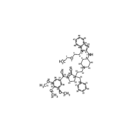 CCOCCn1c(NC2CCN(CCC3(Cc4ccccc4)CCN(C(=O)c4cc(OC)c(OC)c(OC)c4)C3=O)CC2)nc2ccccc21